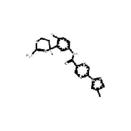 Cc1cnn(-c2cnc(C(=O)Nc3ccc(F)c([C@]4(C)CCSC(N)=N4)c3)cn2)c1